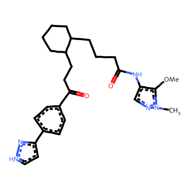 COc1c(NC(=O)CCCC2CCCCC2CCC(=O)c2ccc(-c3cc[nH]n3)cc2)cnn1C